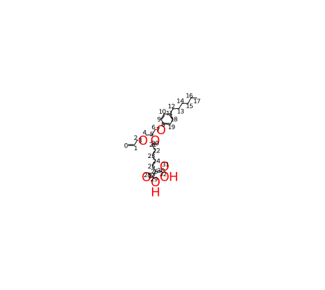 C=CCOCC(COc1ccc(CCCCCC)cc1)OCCCCCC(C(=O)O)C(=O)O